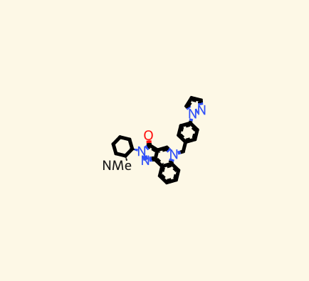 CN[C@@H]1CCCC[C@H]1n1nc2c3ccccc3n(Cc3ccc(-n4cccn4)cc3)cc-2c1=O